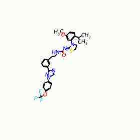 COc1ccc(C(C)C)c(N2CCS/C2=N\C(=O)NCCc2cccc(-c3ncn(-c4ccc(OC(F)(F)F)cc4)n3)c2)c1